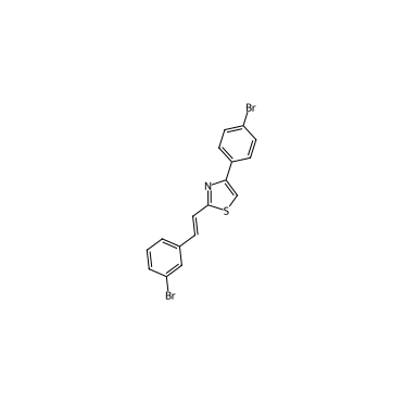 Brc1ccc(-c2csc(/C=C/c3cccc(Br)c3)n2)cc1